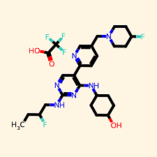 CCC(F)CNc1ncc(-c2ccc(CN3CCC(F)CC3)cn2)c(NC2CCC(O)CC2)n1.O=C(O)C(F)(F)F